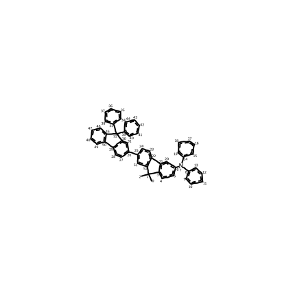 CC1(C)c2ccc(N(c3ccccc3)c3ccccc3)cc2-c2ccc(-c3ccc4c(c3)C(c3ccccc3)(c3ccccc3)c3ccccc3-4)cc21